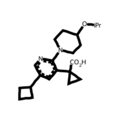 CC(C)OC1CCN(c2ncc(C3CCC3)cc2C2(C(=O)O)CC2)CC1